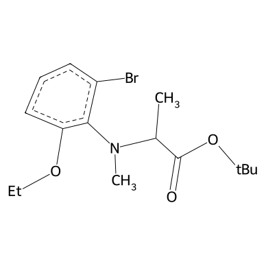 CCOc1cccc(Br)c1N(C)C(C)C(=O)OC(C)(C)C